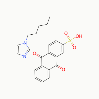 CCCCCn1ccnc1.O=C1c2ccccc2C(=O)c2cc(S(=O)(=O)O)ccc21